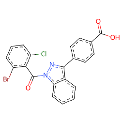 O=C(O)c1ccc(-c2nn(C(=O)c3c(Cl)cccc3Br)c3ccccc23)cc1